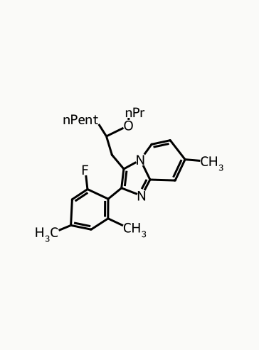 CCCCCC(Cc1c(-c2c(C)cc(C)cc2F)nc2cc(C)ccn12)OCCC